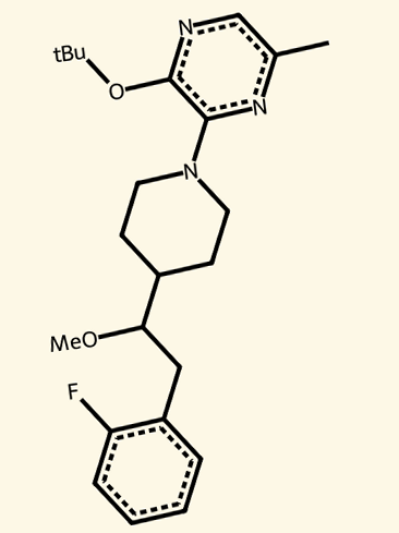 COC(Cc1ccccc1F)C1CCN(c2nc(C)cnc2OC(C)(C)C)CC1